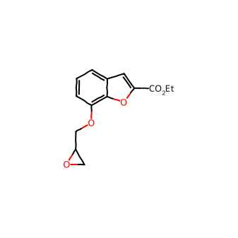 CCOC(=O)c1cc2cccc(OCC3CO3)c2o1